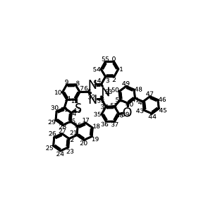 c1ccc(-c2nc(-c3cccc4c3sc3c(-c5ccccc5-c5ccccc5)cccc34)nc(-c3cccc4oc5c(-c6ccccc6)cccc5c34)n2)cc1